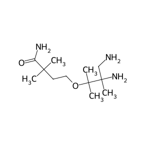 CC(C)(CCOC(C)(C)C(C)(N)CN)C(N)=O